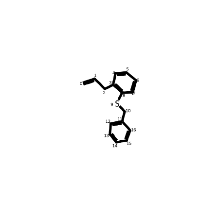 C=CCc1ccc[c]c1SCc1ccccc1